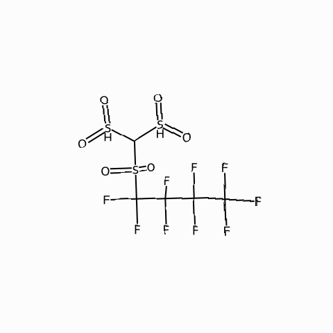 O=[SH](=O)C([SH](=O)=O)S(=O)(=O)C(F)(F)C(F)(F)C(F)(F)C(F)(F)F